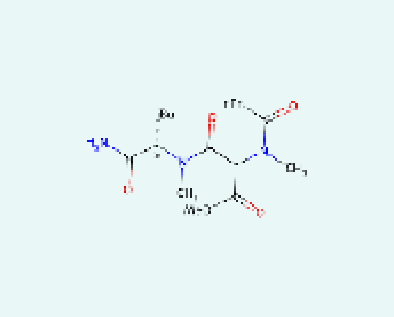 CCCC(=O)N(C)C(C(=O)OC)C(=O)N(C)[C@H](C(N)=O)C(C)CC